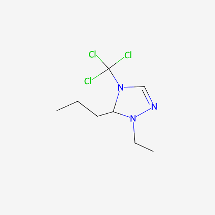 CCCC1N(CC)N=CN1C(Cl)(Cl)Cl